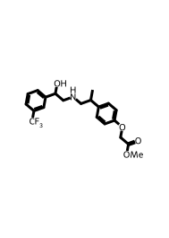 COC(=O)COc1ccc(C(C)CNCC(O)c2cccc(C(F)(F)F)c2)cc1